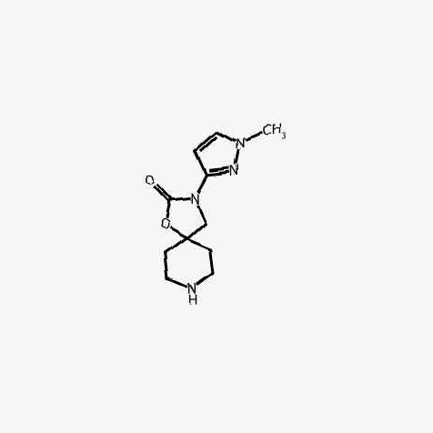 Cn1ccc(N2CC3(CCNCC3)OC2=O)n1